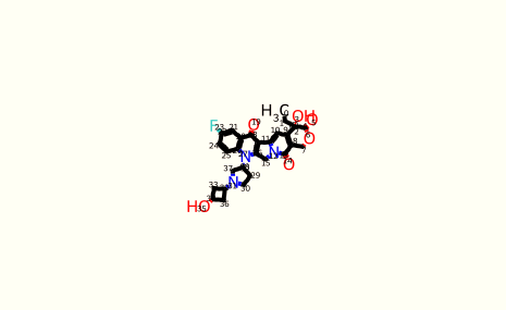 CC[C@@]1(O)C(=O)OCc2c1cc1n(c2=O)Cc2c-1c(=O)c1cc(F)ccc1n2[C@@H]1CCN(C2CC(O)C2)C1